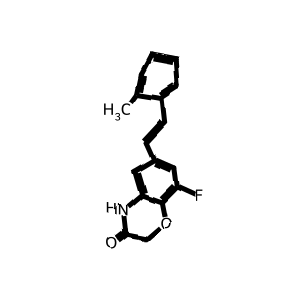 Cc1ccccc1C=Cc1cc(F)c2c(c1)NC(=O)CO2